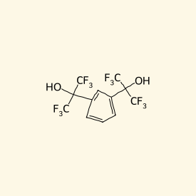 OC(c1cccc(C(O)(C(F)(F)F)C(F)(F)F)c1)(C(F)(F)F)C(F)(F)F